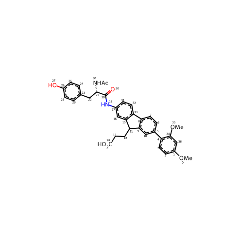 COc1ccc(-c2ccc3c(c2)C(CCC(=O)O)c2cc(NC(=O)[C@H](Cc4ccc(O)cc4)NC(C)=O)ccc2-3)c(OC)c1